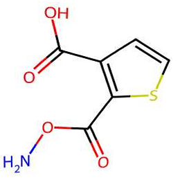 NOC(=O)c1sccc1C(=O)O